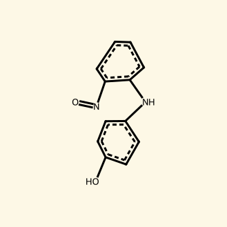 O=Nc1ccccc1Nc1ccc(O)cc1